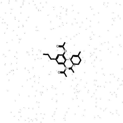 C=C(C)[C@@H]1CCC(C)=C[C@H]1c1c(OC(C)=O)cc(CCC)cc1OC(C)=O